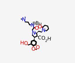 CCCCN(CCCN(C)C)C(=O)CN1C[C@H](c2cc(CO)c3c(c2)OCO3)[C@@H](C(=O)O)[C@@H]1CCN1CCCCC1=O